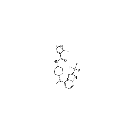 Cc1nscc1C(=O)N[C@H]1CC[C@@H](N(C)c2cccc3nc(C(F)(F)F)cn23)CC1